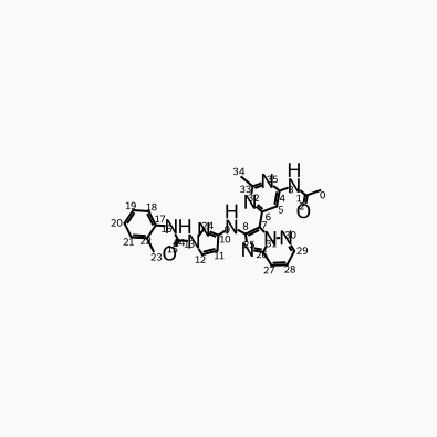 CC(=O)Nc1cc(-c2c(Nc3ccn(C(=O)Nc4ccccc4C)n3)nc3cccnn23)nc(C)n1